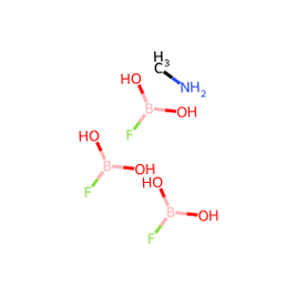 CN.OB(O)F.OB(O)F.OB(O)F